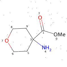 COC(=O)C1(N)CCOCC1